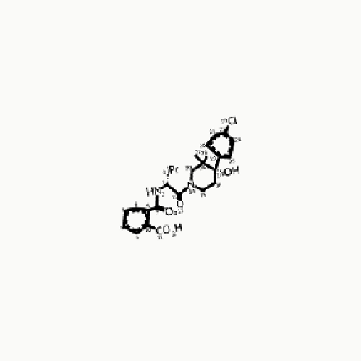 CC(C)[C@@H](NC(=O)c1ccccc1C(=O)O)C(=O)N1CC[C@](O)(c2ccc(Cl)cc2)C(C)(C)C1